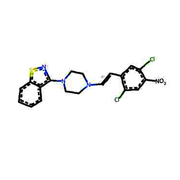 O=[N+]([O-])c1cc(Cl)c(/C=C/N2CCN(c3nsc4ccccc34)CC2)cc1Cl